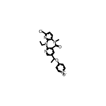 CCN1c2ncc(C(C)Oc3cc[n+]([O-])cc3)cc2C(=O)N(C)c2ccc(Cl)nc21